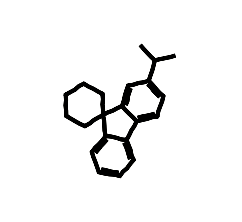 CC(C)c1ccc2c(c1)C1(CCCCC1)c1ccccc1-2